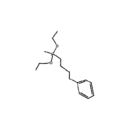 CCO[Si](C)(CCCCc1ccccc1)OCC